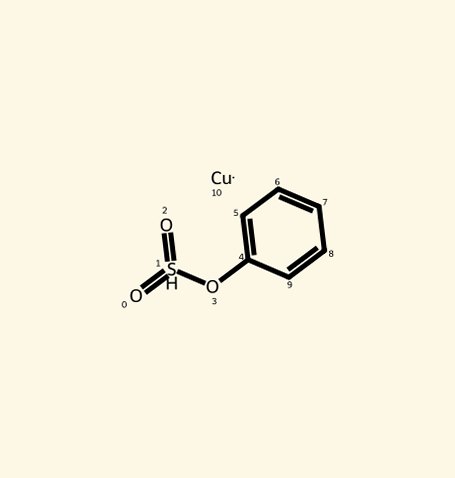 O=[SH](=O)Oc1ccccc1.[Cu]